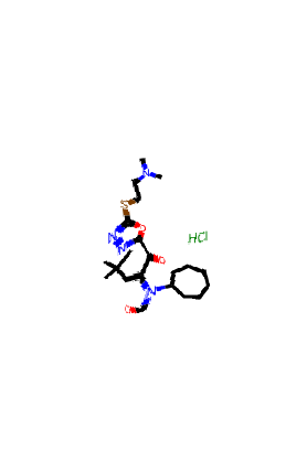 CN(C)CCSc1nnc(C(=O)C(CC(C)(C)C)N(C=O)C2CCCCCC2)o1.Cl